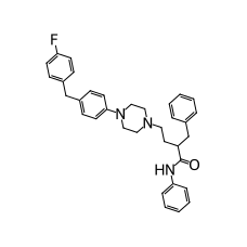 O=C(Nc1ccccc1)C(CCN1CCN(c2ccc(Cc3ccc(F)cc3)cc2)CC1)Cc1ccccc1